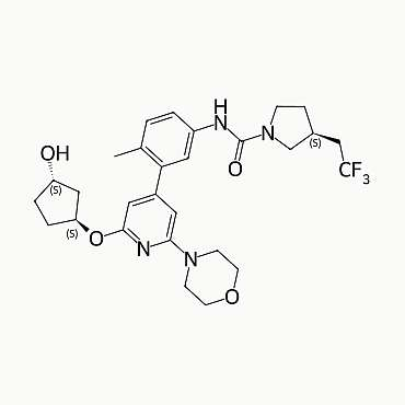 Cc1ccc(NC(=O)N2CC[C@@H](CC(F)(F)F)C2)cc1-c1cc(O[C@H]2CC[C@H](O)C2)nc(N2CCOCC2)c1